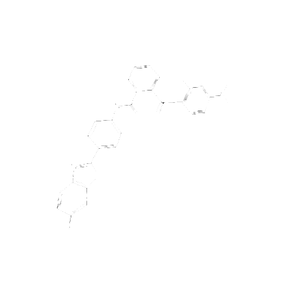 CCN(CC)c1ccc(C(=O)c2ccccc2C(=O)Nc2ccc(-c3nc4ccc(C)cc4s3)cc2)c(O)c1